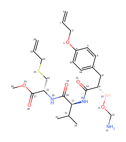 C=CCOc1ccc(C[C@H](BOCN)C(=O)N[C@H](C(=O)N[C@@H](CSCC=C)C(=O)OC)C(C)C)cc1